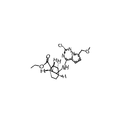 CCOC(=O)[C@H]1[C@H]2CC[C@H](CC2)[C@@H]1Nc1nc(Cl)nn2c(COC)ccc12